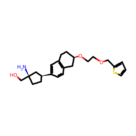 N[C@]1(CO)CC[C@H](c2ccc3c(c2)CC[C@@H](OCCOCc2cccs2)C3)C1